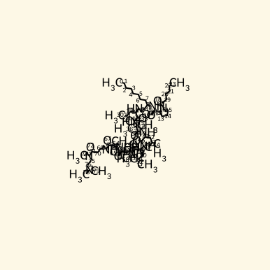 CCCCCCCCC(NC(=O)[C@@H]1CCCN1C(=O)CCCCC)C(=O)NC(CC(C)C)C(=O)NC(C)(C)C(=O)NC(CC(C)C)C(=O)NC(CC(C)C)C(=O)NC(C)(C)C(=O)NC(C)(C)C(=O)NCCC(=O)N(C)CCN(C)C